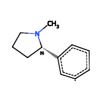 CN1CCC[C@H]1c1c[c]ccc1